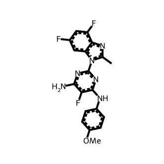 COc1ccc(Nc2nc(-n3c(C)nc4c(F)cc(F)cc43)nc(N)c2F)cc1